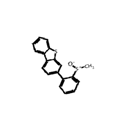 C[S+]([O-])c1ccccc1-c1ccc2c(c1)sc1ccccc12